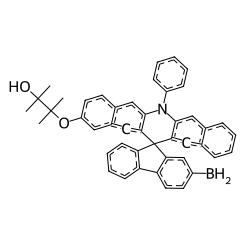 Bc1ccc2c(c1)C1(c3ccccc3-2)c2cc3ccccc3cc2N(c2ccccc2)c2cc3ccc(OC(C)(C)C(C)(C)O)cc3cc21